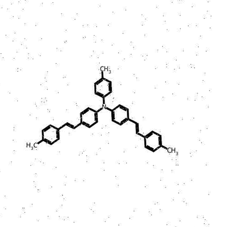 Cc1ccc(C=Cc2ccc(N(c3ccc(C)cc3)c3ccc(C=Cc4ccc(C)cc4)cc3)cc2)cc1